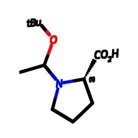 CC(OC(C)(C)C)N1CCC[C@H]1C(=O)O